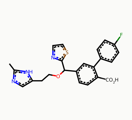 Cc1ncc(CCOC(c2ccc(C(=O)O)c(-c3ccc(F)cc3)c2)c2nccs2)[nH]1